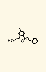 Cc1ccc(C(=O)OCc2ccccc2)c(CCCO)c1